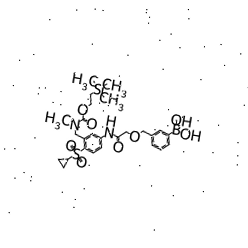 CN(Cc1cc(NC(=O)COCc2cccc(B(O)O)c2)ccc1S(=O)(=O)C1CC1)C(=O)OCC[Si](C)(C)C